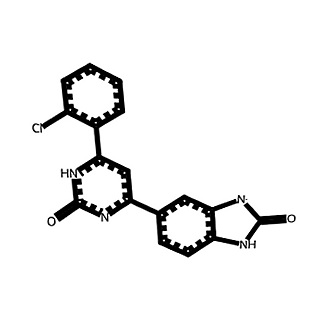 O=C1[N]c2cc(-c3cc(-c4ccccc4Cl)[nH]c(=O)n3)ccc2N1